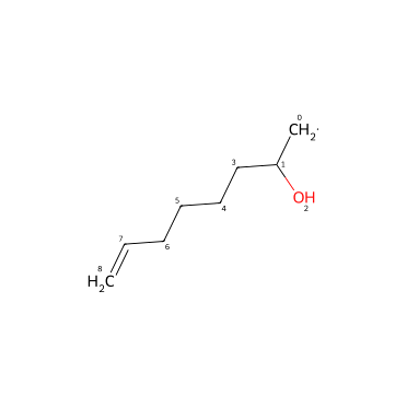 [CH2]C(O)CCCCC=C